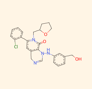 O=c1c2c(cc(-c3ccccc3Cl)n1CC1CCCO1)CN=CN2Nc1cccc(CO)c1